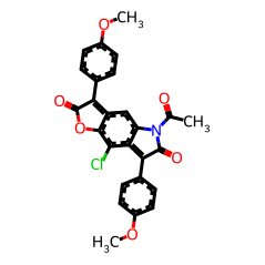 COc1ccc(C2=c3cc4c(c(Cl)c3OC2=O)=C(c2ccc(OC)cc2)C(=O)N4C(C)=O)cc1